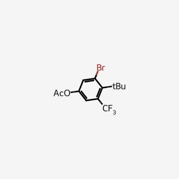 CC(=O)Oc1cc(Br)c(C(C)(C)C)c(C(F)(F)F)c1